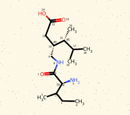 CCC(C)[C@H](N)C(=O)NC[C@H](CC(=O)O)[C@H](C)C(C)C